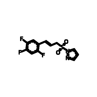 O=S(=O)(CC=Cc1cc(F)c(F)cc1F)n1cccn1